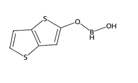 OBOc1cc2sccc2s1